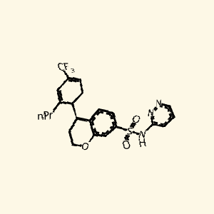 CCCC1=CC(C(F)(F)F)=CCC1[C@@H]1CCOc2cc(S(=O)(=O)Nc3cccnn3)ccc21